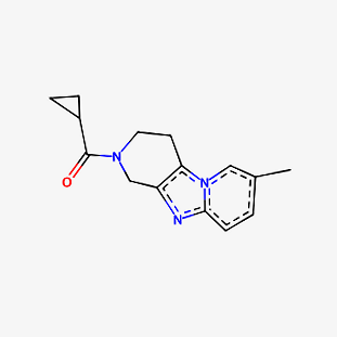 Cc1ccc2nc3c(n2c1)CCN(C(=O)C1CC1)C3